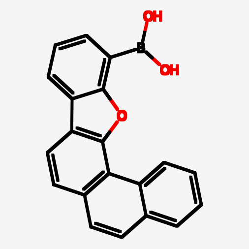 OB(O)c1cccc2c1oc1c2ccc2ccc3ccccc3c21